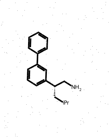 CC(C)C[C@@H](CN)c1cccc(-c2ccccc2)c1